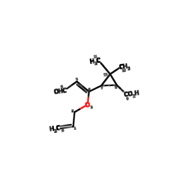 C=CCOC(=CC=O)C1C(C(=O)O)C1(C)C